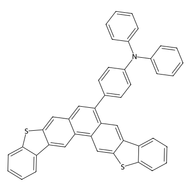 c1ccc(N(c2ccccc2)c2ccc(-c3cc4cc5sc6ccccc6c5cc4c4cc5sc6ccccc6c5cc34)cc2)cc1